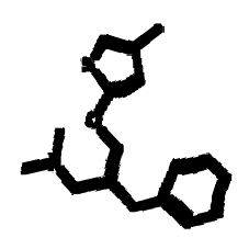 Cc1csc(OCC(Cc2ccccc2)CN(C)C)c1